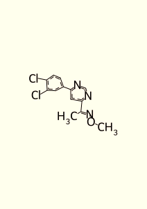 CON=C(C)c1cc(-c2ccc(Cl)c(Cl)c2)ncn1